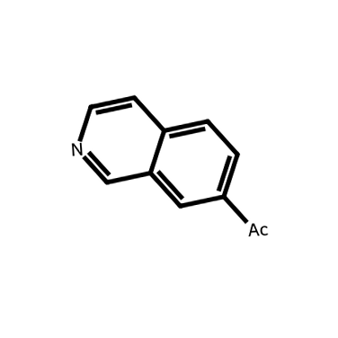 CC(=O)c1ccc2ccncc2c1